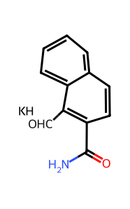 NC(=O)c1ccc2ccccc2c1C=O.[KH]